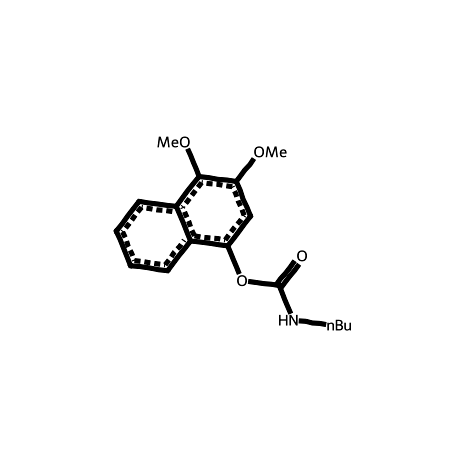 CCCCNC(=O)Oc1cc(OC)c(OC)c2ccccc12